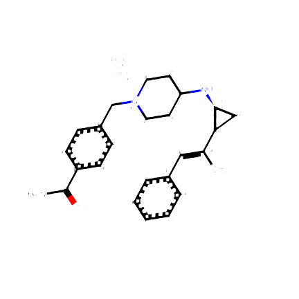 CNC(=O)c1ccc(CN2CCC(N[C@H]3CC3C(C)=Cc3ccccc3)CC2)cc1.Cl.Cl